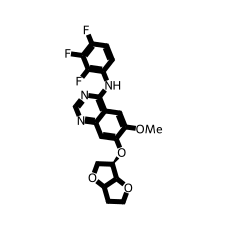 COc1cc2c(Nc3ccc(F)c(F)c3F)ncnc2cc1O[C@@H]1COC2CCOC21